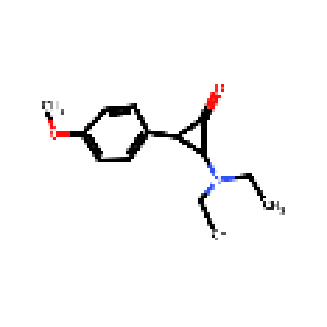 CCN(CC)C1C(=O)C1c1ccc(OC)cc1